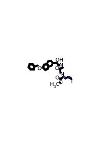 COC(=O)C(=C/C=C\I)/N=C/c1cnc(C(O)C2CCc3cc(OCc4ccccc4)ccc3C2)o1